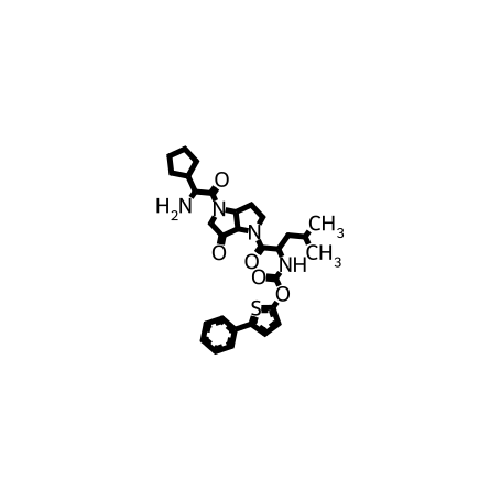 CC(C)CC(NC(=O)Oc1ccc(-c2ccccc2)s1)C(=O)N1CCC2C1C(=O)CN2C(=O)C(N)C1CCCC1